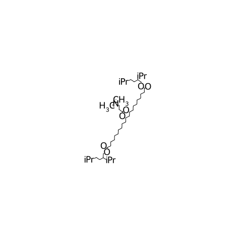 CC(C)CCC(COC(=O)CCCCCCCCCC(CCCCCCCCCC(=O)OCC(CCC(C)C)C(C)C)OC(=O)CCN(C)C)C(C)C